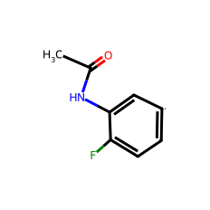 CC(=O)Nc1c[c]ccc1F